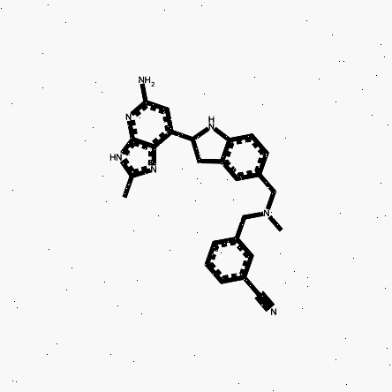 Cc1nc2c(C3Cc4cc(CN(C)Cc5cccc(C#N)c5)ccc4N3)cc(N)nc2[nH]1